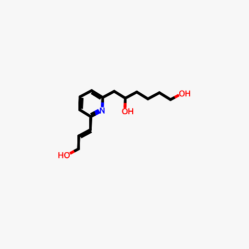 OC/C=C/c1cccc(CC(O)CCCCO)n1